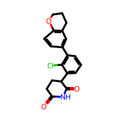 O=C1CCC(c2cccc(-c3ccc4c(c3)CCCO4)c2Cl)C(=O)N1